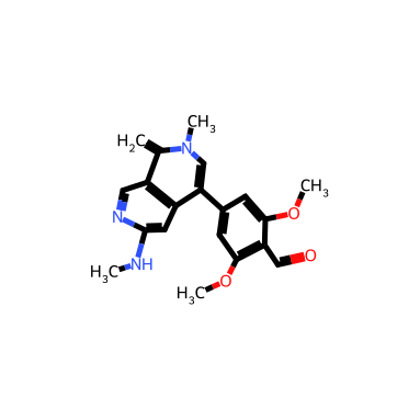 C=C1c2cnc(NC)cc2C(c2cc(OC)c(C=O)c(OC)c2)=CN1C